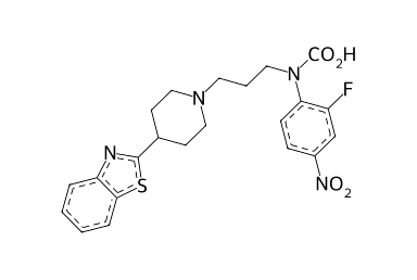 O=C(O)N(CCCN1CCC(c2nc3ccccc3s2)CC1)c1ccc([N+](=O)[O-])cc1F